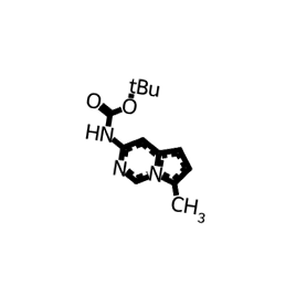 Cc1ccc2cc(NC(=O)OC(C)(C)C)ncn12